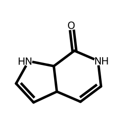 O=C1NC=CC2C=CNC12